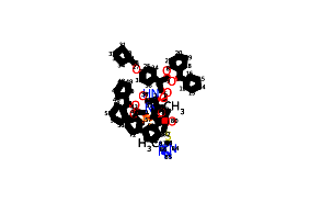 CO[C@]1(NC(=O)C(C(=O)OC(c2ccccc2)c2ccccc2)c2ccc(OCc3ccccc3)cc2)C(=O)N(C(C(=O)OC(c2ccccc2)c2ccccc2)=P(c2ccccc2)(c2ccccc2)c2ccccc2)[C@H]1OCC(=O)CSc1nnnn1C